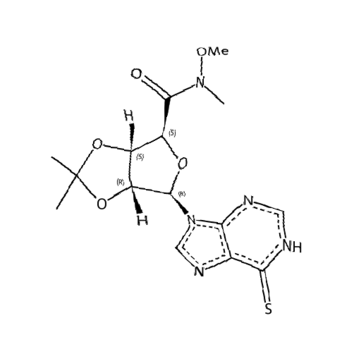 CON(C)C(=O)[C@H]1O[C@@H](n2cnc3c(=S)[nH]cnc32)[C@@H]2OC(C)(C)O[C@@H]21